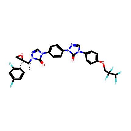 C[C@@H](n1ncn(-c2ccc(-n3ncn(-c4ccc(OCC(F)(F)C(F)F)cc4)c3=O)cc2)c1=O)[C@@]1(c2ccc(F)cc2F)CO1